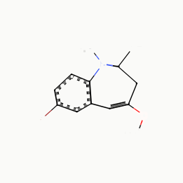 CCCN1c2ccc(Br)cc2C=C(OC(=O)O)CC1C